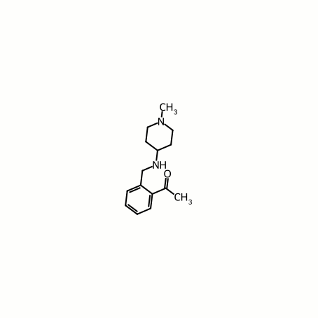 CC(=O)c1ccccc1CNC1CCN(C)CC1